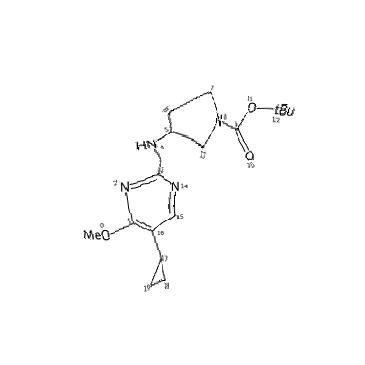 COc1nc(NC2CCN(C(=O)OC(C)(C)C)C2)ncc1C1CC1